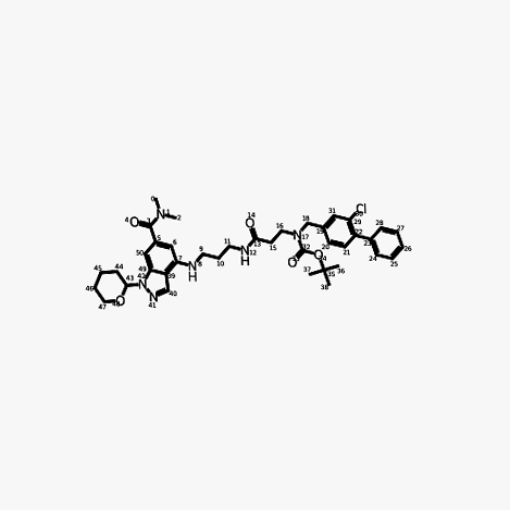 CN(C)C(=O)c1cc(NCCCNC(=O)CCN(Cc2ccc(-c3ccccc3)c(Cl)c2)C(=O)OC(C)(C)C)c2cnn(C3CCCCO3)c2c1